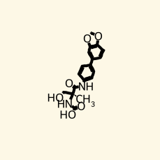 C[C@@](CO)(NC(=O)O)C(=O)Nc1ccc(-c2ccc3c(c2)OCO3)cc1